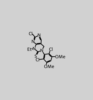 CCN1C(=S)N(c2c(Cl)c(OC)cc(OC)c2Cl)Cc2cnc(Cl)nc21